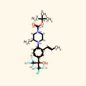 CC=Cc1cc(C(O)(C(F)(F)F)C(F)(F)F)ccc1N1CCN(C(=O)OC(C)(C)C)C[C@@H]1C